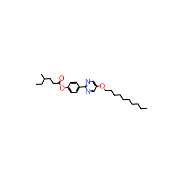 CCCCCCCCCCOc1cnc(-c2ccc(OC(=O)CCC(C)CC)cc2)nc1